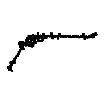 CSCC(=O)N[C@@H](CCCCNC(=O)COCC(=O)NCCOCCOCCOCCOCCOCCNC(=O)CO/N=C/c1ccc(N(C)C)cc1)C(=O)NCC(=O)N[C@@H](CCCN)C(=O)NCC(=O)N[C@@H](CC(=O)O)C(=O)N[C@@H](CSSC)C(=O)N[C@@H](Cc1ccccc1)C(=O)NCC(=O)NCCOCCOCCOCCNC(=O)COCC(N)=O